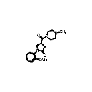 COc1ccccc1N1CC(C(=O)N2CCN(C)CC2)CC1=O